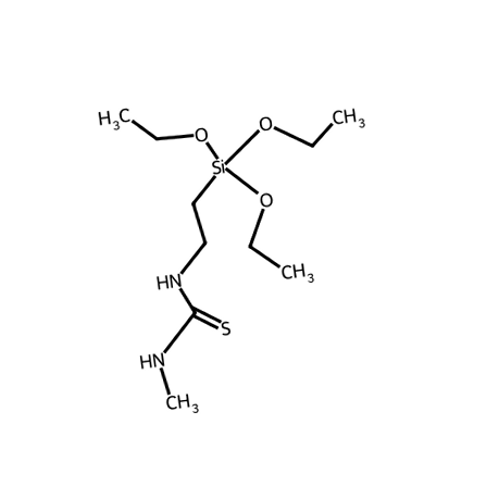 CCO[Si](CCNC(=S)NC)(OCC)OCC